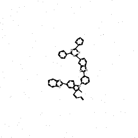 C=C/C=C\c1c(C)n(-c2cccc(-c3nc4ccc(-c5nc(-c6ccccc6)nc(-c6ccccc6)n5)cc4s3)c2)c2ccc(-c3nc4ccccc4s3)cc12